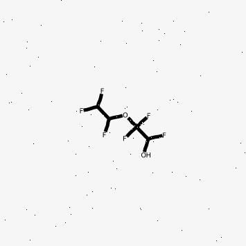 OC(F)C(F)(F)OC(F)C(F)F